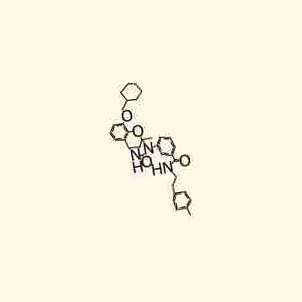 Cc1ccc(CCNC(=O)c2cccc(N3C(=O)NC4CC3(C)Oc3c(OCC5CCCCC5)cccc34)c2)cc1